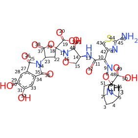 CN1C2CCC1CC(O/N=C(\C(=O)N[C@H]1CON(C3(C(=O)O)CC(N4C(=O)c5cc(O)c(O)cc5C4=O)C(=O)O3)C1=O)c1csc(N)n1)(C(=O)O)C2